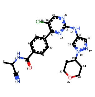 CC(C#N)NC(=O)c1ccc(-c2nc(Nc3cnn(C4CCOCC4)c3)ncc2Cl)cc1